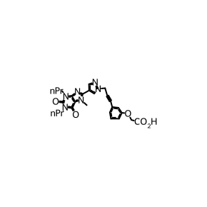 CCCn1c(=O)c2c(nc(-c3cnn(CC#Cc4cccc(OCC(=O)O)c4)c3)n2C)n(CCC)c1=O